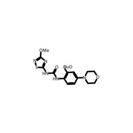 COc1nsc(NC(=O)Nc2ccc(N3CCOCC3)cc2OCC(C)C)n1